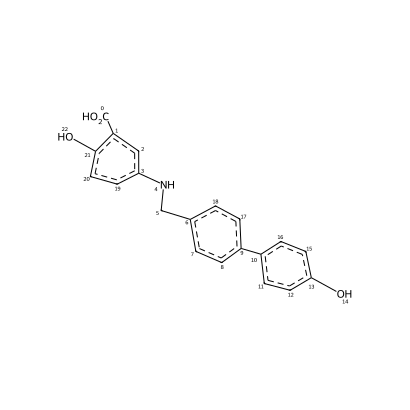 O=C(O)c1cc(NCc2ccc(-c3ccc(O)cc3)cc2)ccc1O